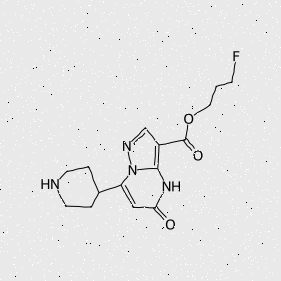 O=C(OCCCF)c1cnn2c(C3CCNCC3)cc(=O)[nH]c12